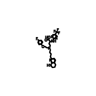 O=C(O)C(CCN(CCCCc1ccc2c(n1)NCCC2)CCOc1ccc(F)cc1)Nc1ncc(C(F)(F)F)cn1